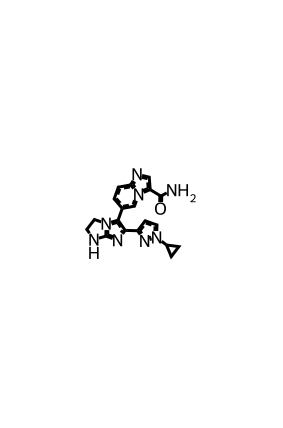 NC(=O)c1cnc2ccc(-c3c(-c4ccn(C5CC5)n4)nc4n3CCN4)cn12